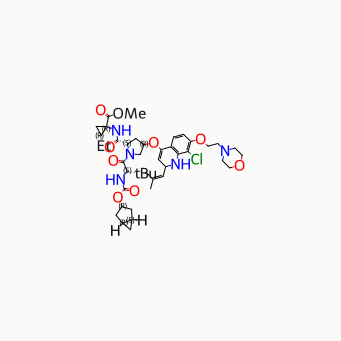 CC[C@@H]1C[C@]1(NC(=O)[C@@H]1C[C@@H](OC2=CC(C=C(C)C)Nc3c2ccc(OCCN2CCOCC2)c3Cl)CN1C(=O)[C@@H](NC(=O)O[C@@H]1C[C@@H]2C[C@@H]2C1)C(C)(C)C)C(=O)OC